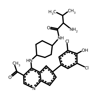 CC(=O)c1cnc2ccc(-c3cc(Cl)c(O)c(Cl)c3)cc2c1NC1CCC(NC(=O)C(N)C(C)C)CC1